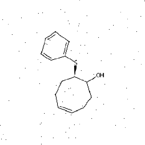 OC1CC/C=C\CC[C@H]1Sc1ccccc1